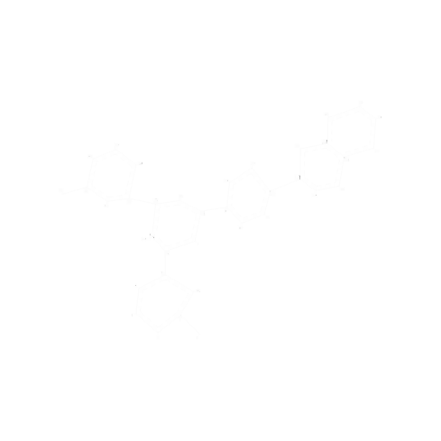 Cc1cccc(-c2cc(-c3ccc(-c4ccc5ccccc5c4)cc3)cc(-c3cccc(C)c3)n2)c1